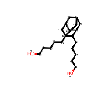 OCCCCCC1C2CC3CC(C2)CC1(CCCCCO)C3